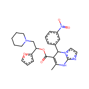 CC1=C(C(=O)OC(CN2CCCCC2)c2ccco2)C(c2cccc([N+](=O)[O-])c2)n2ccnc2N1